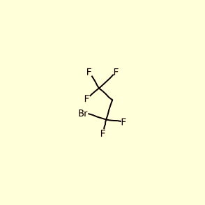 FC(F)(F)CC(F)(F)Br